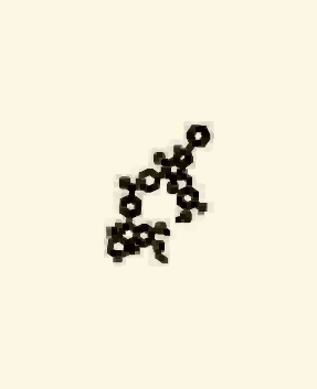 CCOc1cc2c(cc1OC)C(c1ccc(C(=O)N3CCC(n4c(=O)c5sc(-c6ccccc6)cc5n(Cc5ccc(OC)c(F)c5)c4=O)CC3)cc1)=N[C@@H]1CCSC[C@H]21